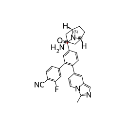 Cc1ncc2cc(-c3ccc(C(=O)N4[C@@H]5CC[C@H]4C[C@@H](N)C5)cc3-c3ccc(C#N)c(F)c3)ccn12